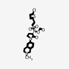 CN1CCc2cc(N3CC[C@H](N(OC=O)S(=O)(=O)/C=C/c4ccc(Cl)s4)C3=O)ccc2C1